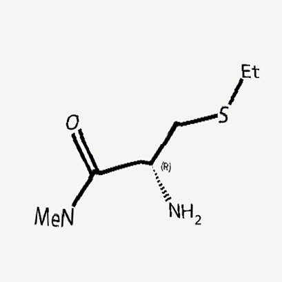 CCSC[C@H](N)C(=O)NC